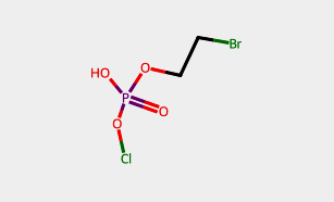 O=P(O)(OCl)OCCBr